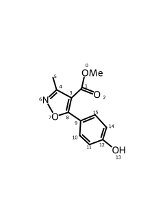 COC(=O)c1c(C)noc1-c1ccc(O)cc1